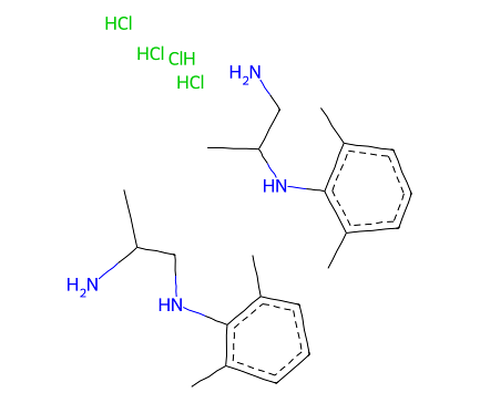 Cc1cccc(C)c1NC(C)CN.Cc1cccc(C)c1NCC(C)N.Cl.Cl.Cl.Cl